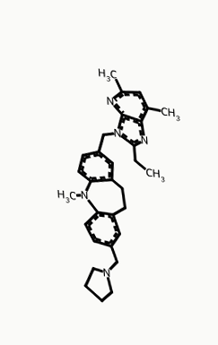 CCc1nc2c(C)cc(C)nc2n1Cc1ccc2c(c1)CCc1cc(CN3CCCC3)ccc1N2C